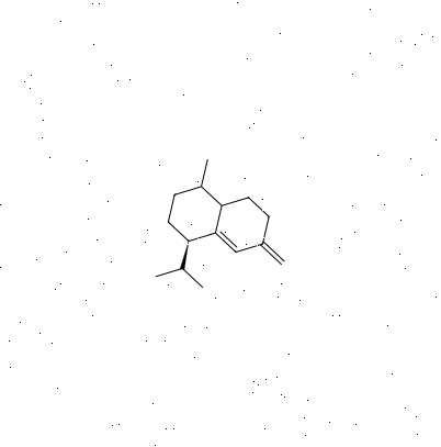 C=C1C=C2C(CC1)C(C)CC[C@@H]2C(C)C